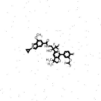 COc1cc(C(=O)NCC(O)(c2cc3c(c(-c4ccc(F)c(OC(F)F)c4)n2)OCC3(C)C)C(F)(F)F)cc2cn(C3CC3)nc12